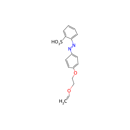 C=COCCOc1ccc(/N=N/c2ccccc2S(=O)(=O)O)cc1